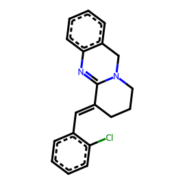 Clc1ccccc1C=C1CCCN2Cc3ccccc3N=C12